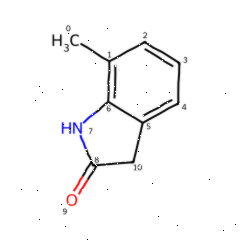 Cc1cccc2c1NC(=O)C2